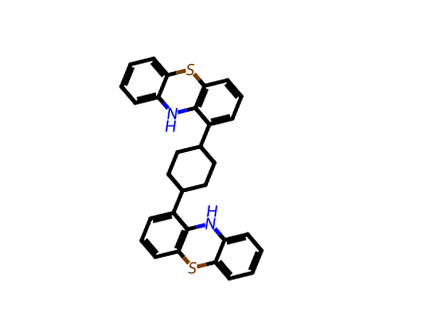 c1ccc2c(c1)Nc1c(cccc1C1CCC(c3cccc4c3Nc3ccccc3S4)CC1)S2